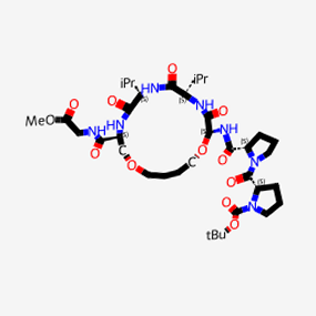 COC(=O)CNC(=O)[C@@H]1COCCCCO[C@H](NC(=O)[C@@H]2CCCN2C(=O)[C@@H]2CCCN2C(=O)OC(C)(C)C)C(=O)N[C@@H](C(C)C)C(=O)N[C@@H](C(C)C)C(=O)N1